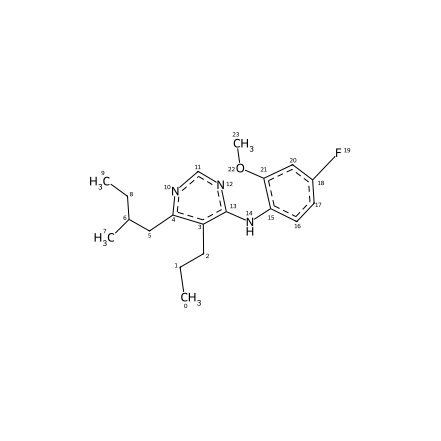 CCCc1c(CC(C)CC)ncnc1Nc1ccc(F)cc1OC